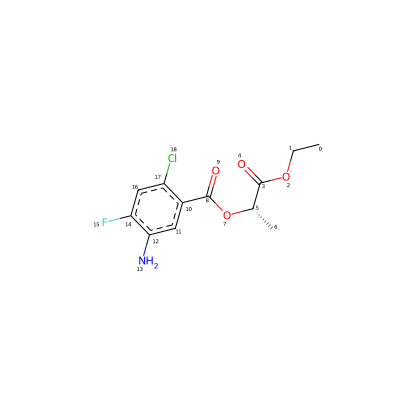 CCOC(=O)[C@H](C)OC(=O)c1cc(N)c(F)cc1Cl